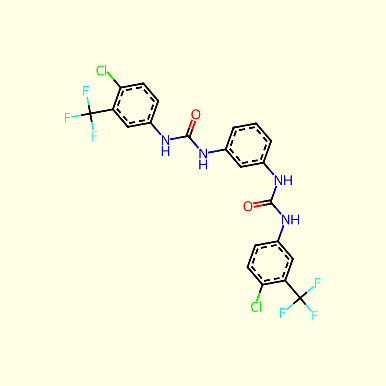 O=C(Nc1cccc(NC(=O)Nc2ccc(Cl)c(C(F)(F)F)c2)c1)Nc1ccc(Cl)c(C(F)(F)F)c1